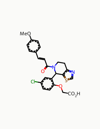 COc1ccc(C=CC(=O)N2CCc3ncsc3C2c2cc(Cl)ccc2OCC(=O)O)cc1